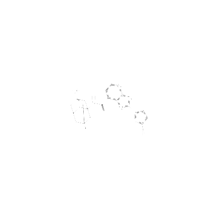 O=C(NC12CC3C[C@@H](C1)C[C@@](O)(C3)C2)c1ccnc2[nH]c(-c3ccc(Br)s3)nc12